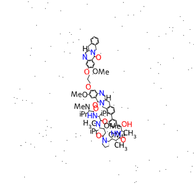 CNC(C(=O)N[C@H](C(=O)N(C)[C@@H](C(C)C)[C@@H](CC(=O)N1CCC[C@H]1[C@H](OC)[C@@H](C)C(=O)N[C@H](C)[C@@H](O)c1cccc(-c2ccc3c(c2)CN2C(=O)c4cc(OC)c(OCCCOc5cc6c(cc5OC)C(=O)N5Cc7ccccc7C[C@H]5C=N6)cc4N=C[C@@H]2C3)c1)OC)C(C)C)C(C)C